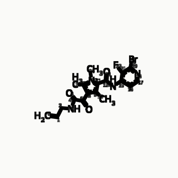 C=CCNC(=O)C(=O)c1c(C)c(C(=O)Nc2ccnc(Br)c2F)n(C)c1C